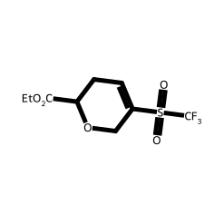 CCOC(=O)C1CC=C(S(=O)(=O)C(F)(F)F)CO1